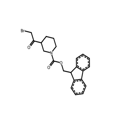 O=C(CBr)C1CCCN(C(=O)OCC2c3ccccc3-c3ccccc32)C1